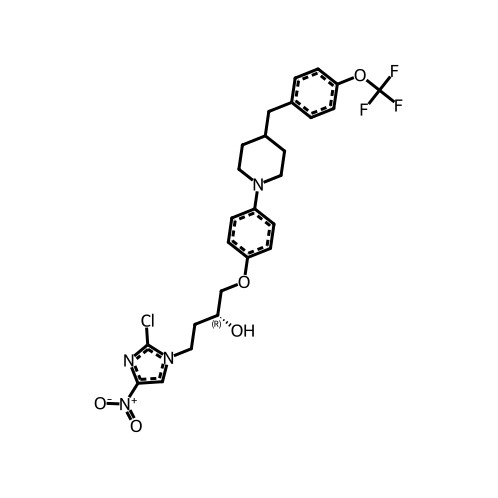 O=[N+]([O-])c1cn(CC[C@@H](O)COc2ccc(N3CCC(Cc4ccc(OC(F)(F)F)cc4)CC3)cc2)c(Cl)n1